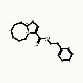 O=C(NCCc1ccccc1)C1=CCC2CCCCCCN12